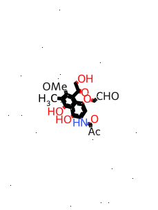 COc1c(C)c(O)c2c(O)c(NC(=O)C(C)=O)cc(OCC=O)c2c1C(=O)CO